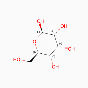 OC[C@H]1O[C@@H](O)[C@H](O)[C@H](O)[C@@H]1O